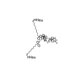 CCCCCC/C=C\CCCCCCCCC(=O)OC[C@H](COP(=O)([O-])OCC[N+](C)(C)C)OC(=O)CCCCCCCC/C=C\CCCCCC